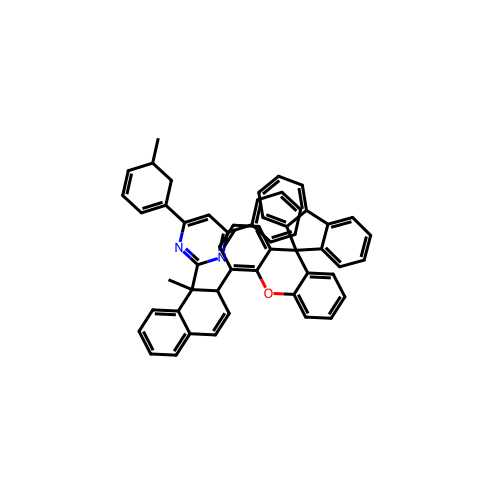 CC1C=CC=C(c2cc(-c3ccccc3)nc(C3(C)c4ccccc4C=CC3c3cccc4c3Oc3ccccc3C43c4ccccc4-c4ccccc43)n2)C1